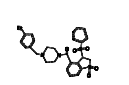 CCc1ccc(CN2CCN(C(=O)c3cccc4c3C(S(=O)(=O)c3ccccc3)CS4(=O)=O)CC2)cc1